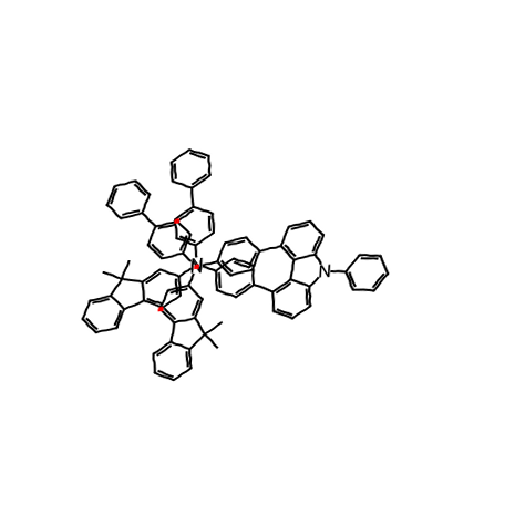 CC1(C)c2ccccc2-c2ccc(N(c3ccc(-c4ccccc4)cc3)c3ccc(-c4cccc5c4c4c(-c6ccc(N(c7ccc(-c8ccccc8)cc7)c7ccc8c(c7)C(C)(C)c7ccccc7-8)cc6)cccc4n5-c4ccccc4)cc3)cc21